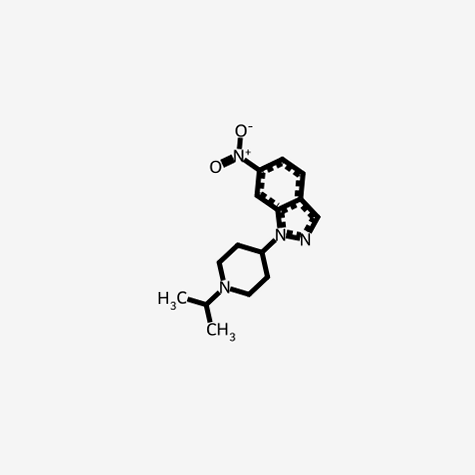 CC(C)N1CCC(n2ncc3ccc([N+](=O)[O-])cc32)CC1